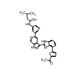 CC(=O)c1ccc(-c2cccc3[nH]c(-c4n[nH]c5cnc(-c6cncc(NC(O)CC(C)C)c6)cc45)nc23)s1